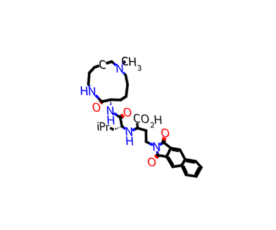 CC(C)C[C@@H](NC(CCN1C(=O)c2cc3ccccc3cc2C1=O)C(=O)O)C(=O)N[C@H]1CCCCN(C)CCCCCNC1=O